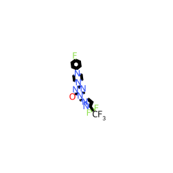 O=c1nc(N2CCN(c3ccc(F)cc3)CC2)ncn1Cn1ccc(C(F)(F)C(F)(F)F)n1